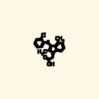 Cc1cccc2c1c(Sc1ccccc1Cl)c(C)n2CC(=O)O